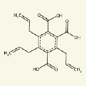 C=CCc1c(CC=C)c(C(=O)O)c(C(=O)O)c(CC=C)c1C(=O)O